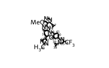 COc1ncnc(C2CC2)c1-c1ncc2cc(-c3cnc(C)nc3)c(=O)n(Cc3ccc(-c4nc(C(F)(F)F)cn4C4CC4)cc3)c2n1